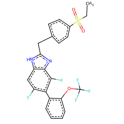 CCS(=O)(=O)c1ccc(Cc2nc3c(F)c(-c4ccccc4OC(F)(F)F)c(F)cc3[nH]2)cc1